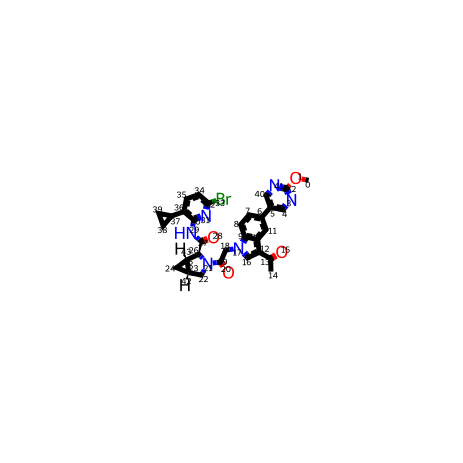 COc1ncc(-c2ccc3c(c2)c(C(C)=O)cn3CC(=O)N2C[C@H]3C[C@H]3[C@H]2C(=O)Nc2nc(Br)ccc2C2CC2)cn1